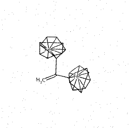 C=C([C]12[CH]3[CH]4[CH]5[CH]1[Fe]45321678[CH]2[CH]1[CH]6[CH]7[CH]28)[C]12[CH]3[CH]4[CH]5[CH]1[Fe]45321678[CH]2[CH]1[CH]6[CH]7[CH]28